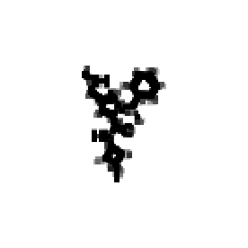 CNCc1cc(C(=O)NC2CC(F)C2)n([C@@H](C)c2ccccc2)n1